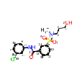 CN(CCCO)S(=O)(=O)c1cccc(C(=O)Nc2cccc(Cl)c2)c1